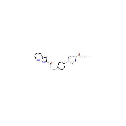 C[C@@H](NC(=O)c1cc2ccccn2n1)c1ccc(N2CCN(C(=O)OC(C)(C)C)CC2)cc1